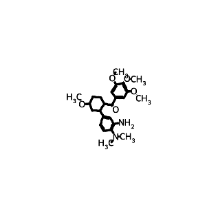 COc1cc(C(=O)C2CCC(OC)CC2c2ccc(N(C)C)c(N)c2)cc(OC)c1OC